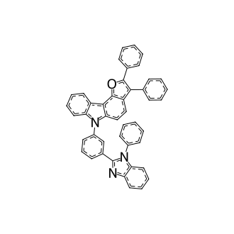 c1ccc(-c2oc3c(ccc4c3c3ccccc3n4-c3cccc(-c4nc5ccccc5n4-c4ccccc4)c3)c2-c2ccccc2)cc1